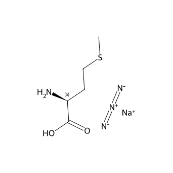 CSCC[C@H](N)C(=O)O.[N-]=[N+]=[N-].[Na+]